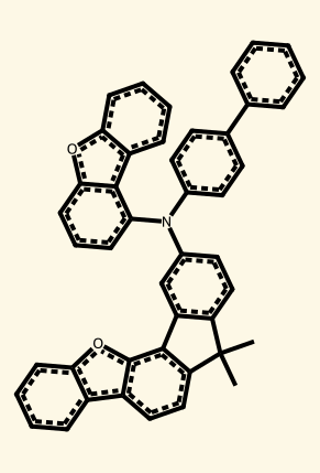 CC1(C)c2ccc(N(c3ccc(-c4ccccc4)cc3)c3cccc4oc5ccccc5c34)cc2-c2c1ccc1c2oc2ccccc21